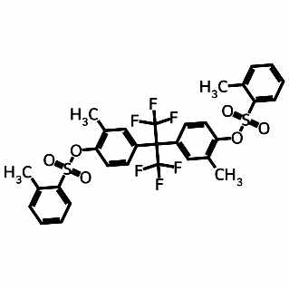 Cc1cc(C(c2ccc(OS(=O)(=O)c3ccccc3C)c(C)c2)(C(F)(F)F)C(F)(F)F)ccc1OS(=O)(=O)c1ccccc1C